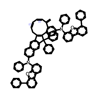 C=C1/C=C\C=C/CC2=C(c3ccc(N(c4ccccc4)c4cccc5c4oc4c(-c6ccccc6)cccc45)cc31)C(c1ccccc1)(c1ccccc1)c1cc3cc(N(c4ccccc4)c4cccc5c4oc4c(-c6ccccc6)cccc45)ccc3cc12